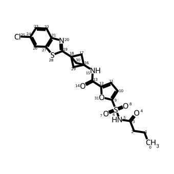 CCCC(=O)NS(=O)(=O)c1ccc(C(=O)NC23CC(c4nc5ccc(Cl)cc5s4)(C2)C3)o1